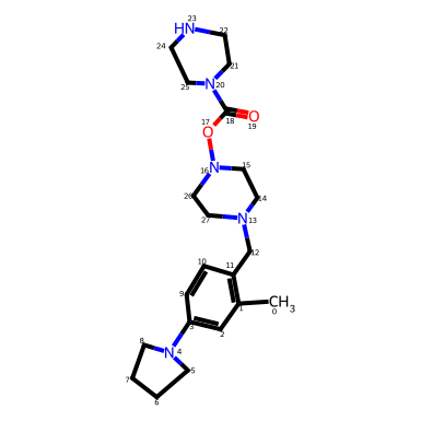 Cc1cc(N2CCCC2)ccc1CN1CCN(OC(=O)N2CCNCC2)CC1